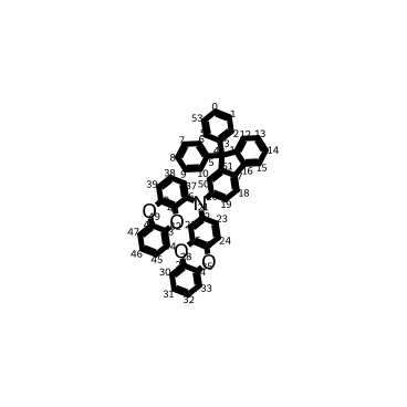 c1ccc(C2(c3ccccc3)c3ccccc3-c3ccc(N(c4ccc5c(c4)Oc4ccccc4O5)c4cccc5c4Oc4ccccc4O5)cc32)cc1